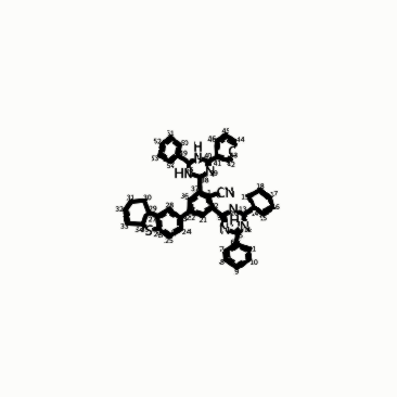 N#Cc1c(C2=NC(c3ccccc3)=NC(C3C=CC=CC3)N2)cc(-c2ccc3c(c2)C2CCC=CC2S3)cc1C1N=C(c2ccccc2)NC(c2ccccc2)N1